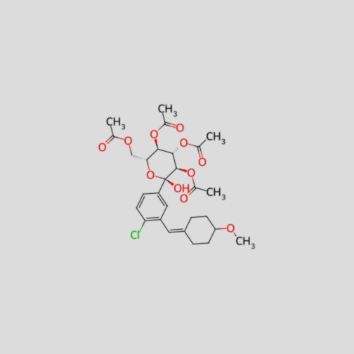 COC1CCC(=Cc2cc([C@]3(O)O[C@H](COC(C)=O)[C@@H](OC(C)=O)[C@H](OC(C)=O)[C@H]3OC(C)=O)ccc2Cl)CC1